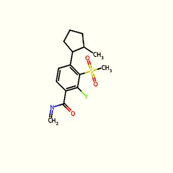 C=NC(=O)c1ccc(C2CCCC2C)c(S(C)(=O)=O)c1F